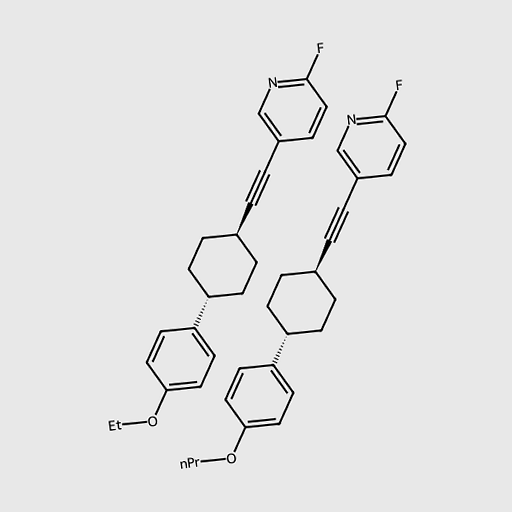 CCCOc1ccc([C@H]2CC[C@H](C#Cc3ccc(F)nc3)CC2)cc1.CCOc1ccc([C@H]2CC[C@H](C#Cc3ccc(F)nc3)CC2)cc1